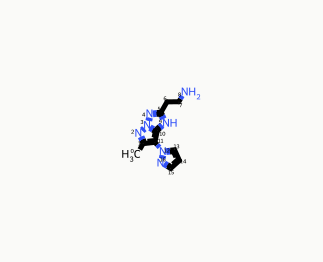 Cc1nn2nc(CCN)[nH]c2c1-n1cccn1